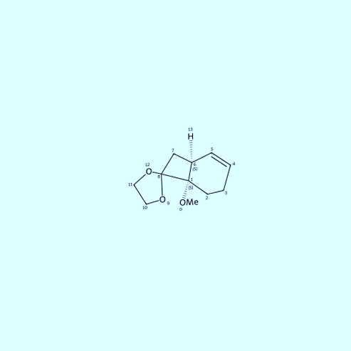 CO[C@@]12CCC=C[C@@H]1CC21OCCO1